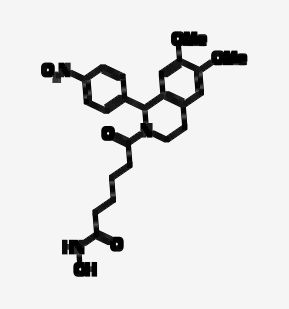 COc1cc2c(cc1OC)C(c1ccc([N+](=O)[O-])cc1)N(C(=O)CCCCC(=O)NO)CC2